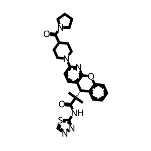 CC(C)(C(=O)Nc1nncs1)[C@H]1c2ccccc2Oc2nc(N3CCC(C(=O)N4CCCC4)CC3)ccc21